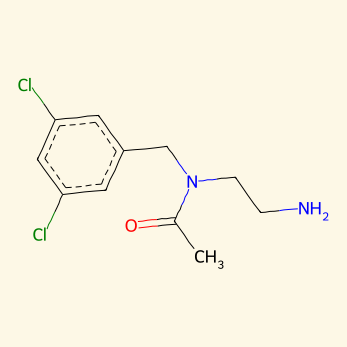 CC(=O)N(CCN)Cc1cc(Cl)cc(Cl)c1